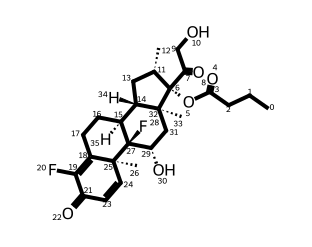 CCCC(=O)O[C@@]1(C(=O)CO)[C@@H](C)C[C@H]2[C@@H]3CCC4=C(F)C(=O)C=C[C@]4(C)[C@@]3(F)[C@@H](O)C[C@@]21C